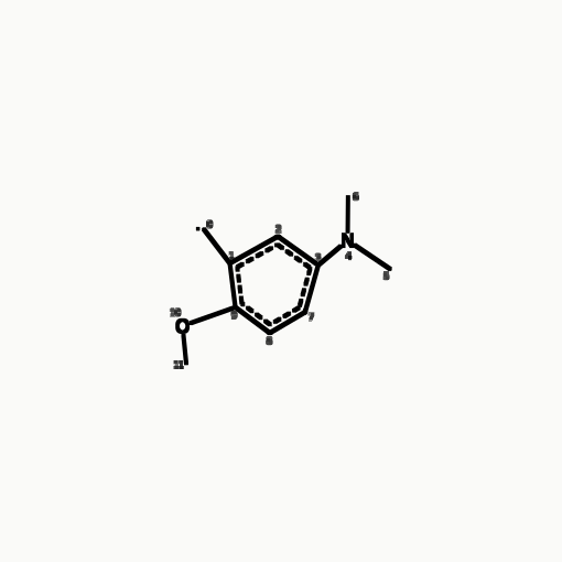 [CH2]c1cc(N(C)C)ccc1OC